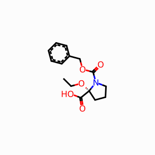 CCO[C@@]1(C(=O)O)CCCN1C(=O)OCc1ccccc1